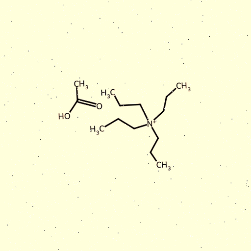 CC(=O)O.CCC[N+](CCC)(CCC)CCC